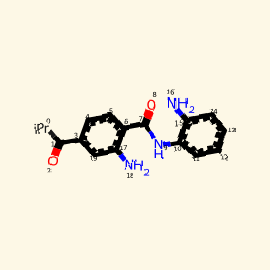 CC(C)C(=O)c1ccc(C(=O)Nc2ccccc2N)c(N)c1